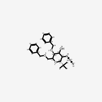 CC(C)(C)[C@@H]1OC(COCc2ccccc2)[C@@H](OCc2ccccc2)C(O)C1N=[N+]=[N-]